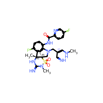 CN/C=C(\C=N)CN1CC[C@@]2(C1)[C@@](C)(c1cc(NC(=O)c3ccc(F)cn3)ccc1F)NC(=N)N(C)S2(=O)=O